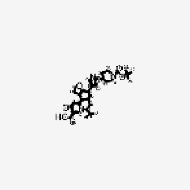 CC(C)C1Cc2cc(-c3cnn(C4CCN(C(=O)OC(C)(C)C)CC4)c3)c3c(c2-c2cc(=O)c(C(=O)O)cn21)CCO3